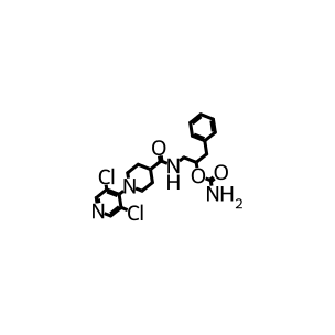 NC(=O)OC(CNC(=O)C1CCN(c2c(Cl)cncc2Cl)CC1)Cc1ccccc1